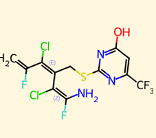 C=C(F)/C(Cl)=C(CSc1nc(O)cc(C(F)(F)F)n1)\C(Cl)=C(/N)F